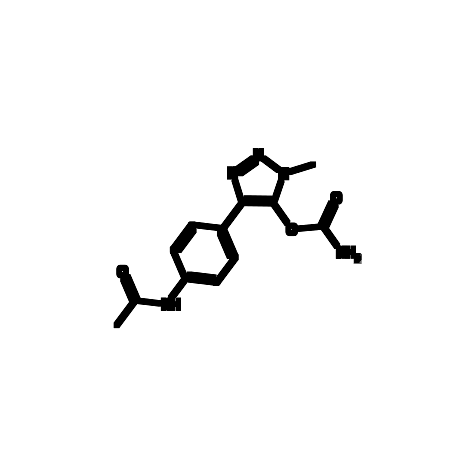 CC(=O)Nc1ccc(-c2nnn(C)c2OC(N)=O)cc1